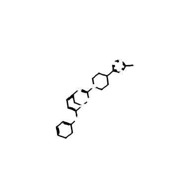 CC(C)c1noc(C2CCN(C3=NC4=CC=C(OC5=CC=CCC5)N(C4)S3)CC2)n1